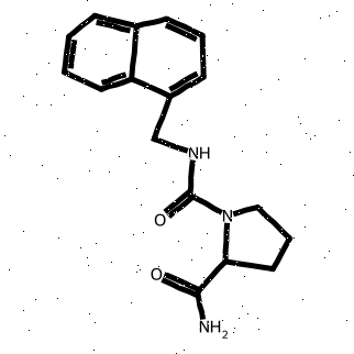 NC(=O)C1CCCN1C(=O)NCc1cccc2ccccc12